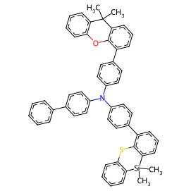 CC1(C)c2ccccc2Oc2c(-c3ccc(N(c4ccc(-c5ccccc5)cc4)c4ccc(-c5cccc6c5Sc5ccccc5[Si]6(C)C)cc4)cc3)cccc21